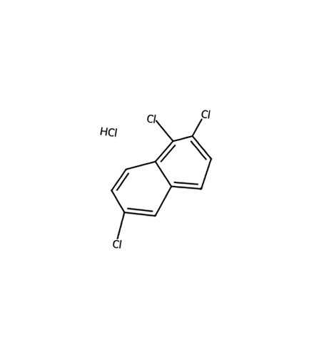 Cl.Clc1ccc2c(Cl)c(Cl)ccc2c1